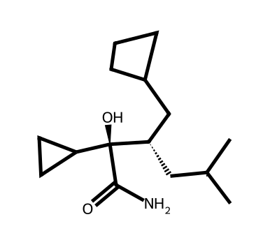 C[C](C)C[C@@H](CC1CCC1)[C@](O)(C(N)=O)C1CC1